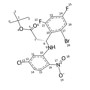 CC(C)(C)OC(=O)C[C@@H](Nc1cc(Cl)ccc1[N+](=O)[O-])c1c(F)cc(F)cc1Br